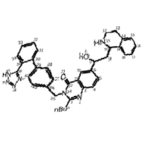 CCCCc1nc2ccc(C(O)CC3NCCc4ccccc43)cc2c(=O)n1Cc1ccc(-c2ccccc2-c2nnn[nH]2)cc1